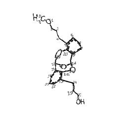 COCCCc1cccc2c1OC1OC2Oc2c(CCCO)cccc21